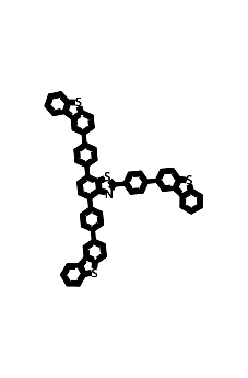 c1ccc2c(c1)sc1ccc(-c3ccc(-c4nc5c(-c6ccc(-c7ccc8sc9ccccc9c8c7)cc6)ccc(-c6ccc(-c7ccc8sc9ccccc9c8c7)cc6)c5s4)cc3)cc12